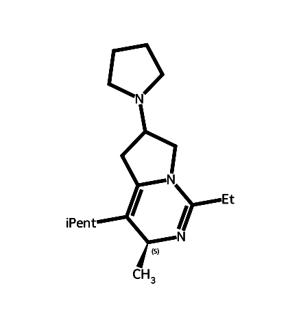 CCCC(C)C1=C2CC(N3CCCC3)CN2C(CC)=N[C@H]1C